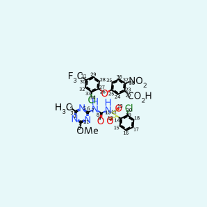 COc1nc(C)nc(NC(=O)NS(=O)(=O)c2ccccc2Cl)n1.O=C(O)c1cc(Oc2ccc(C(F)(F)F)cc2Cl)ccc1[N+](=O)[O-]